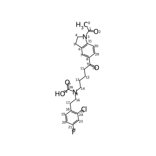 CC(=O)N1CCc2cc(C(=O)CCCCN(CCc3ccc(F)cc3Cl)C(=O)O)ccc21